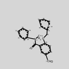 CN(C(=O)c1cc(C=O)ccc1OCc1ccccc1)c1ccccc1